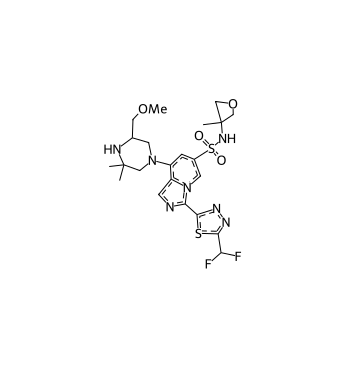 COCC1CN(c2cc(S(=O)(=O)NC3(C)COC3)cn3c(-c4nnc(C(F)F)s4)ncc23)CC(C)(C)N1